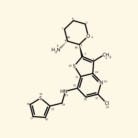 Cc1c([C@@H]2OCCC[C@H]2N)sc2c(NCc3cccs3)cc(Cl)nc12